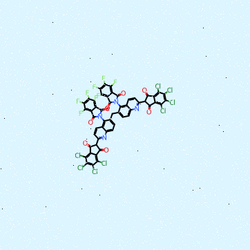 O=C1c2c(Cl)c(Cl)c(Cl)c(Cl)c2C(=O)C1c1ccc2c(N3C(=O)c4c(F)c(F)c(F)c(F)c4C3=O)c(Cc3ccc4nc(C5C(=O)c6c(Cl)c(Cl)c(Cl)c(Cl)c6C5=O)ccc4c3N3C(=O)c4c(F)c(F)c(F)c(F)c4C3=O)ccc2n1